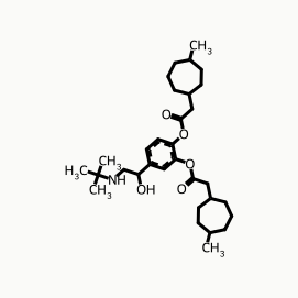 CC1CCCC(CC(=O)Oc2ccc(C(O)CNC(C)(C)C)cc2OC(=O)CC2CCCC(C)CC2)CC1